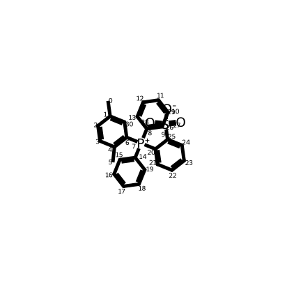 Cc1ccc(C)c([P+](c2ccccc2)(c2ccccc2)c2ccccc2S(=O)(=O)[O-])c1